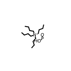 CCCC[N+](CCCC)(CCCC)CCCC.O=PO